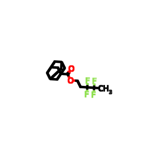 CC(F)(F)C(F)(F)CCOC(=O)C12CC3CC(CC(C3)C1)C2